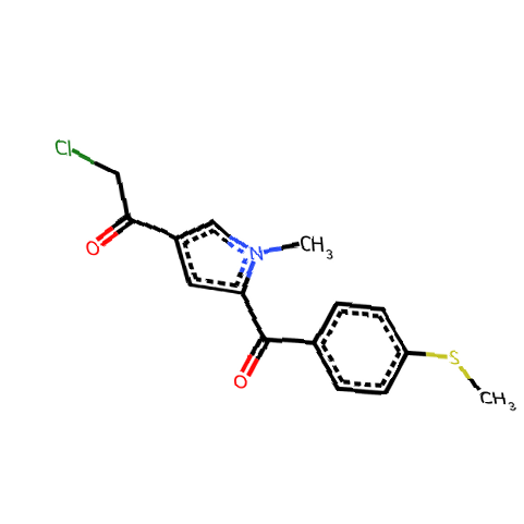 CSc1ccc(C(=O)c2cc(C(=O)CCl)cn2C)cc1